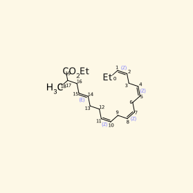 CC/C=C\C/C=C\C/C=C\C/C=C\CC/C=C/CC(C)C(=O)OCC